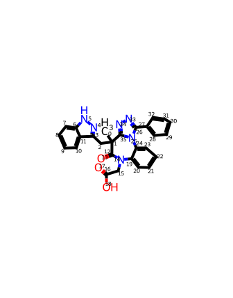 CC1(Cc2n[nH]c3ccccc23)C(=O)N(CC(=O)O)c2ccccc2-n2c(-c3ccccc3)nnc21